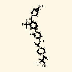 CC(N)(CO)C(=O)N1CCN(C(=O)Nc2ccn(-c3ccc(CN4CC5C(N)C5C4)c(C(F)(F)F)c3)c(=O)n2)CC1